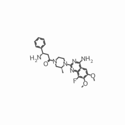 COc1cc2c(N)nc(N3CCN(C(=O)C[C@@H](N)c4ccccc4)C[C@@H]3C)nc2c(F)c1OC